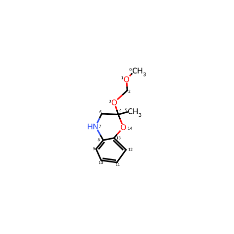 COCOC1(C)CNc2ccccc2O1